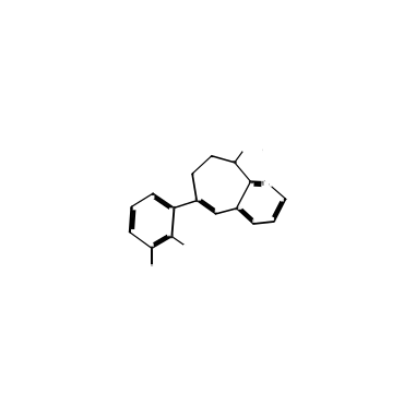 CC1CCC(c2cccc(F)c2F)=Cc2cccnc21